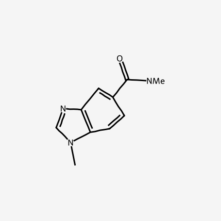 CNC(=O)c1ccc2c(c1)ncn2C